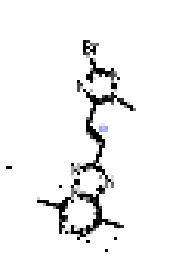 Cc1cnc(C)n2nc(/C=C/c3nc(Br)nn3C)nc12